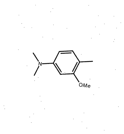 COc1cc(N(C)C)ccc1C